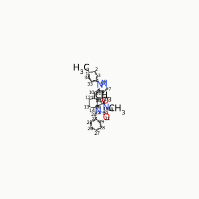 Cc1ccc(-n2ncc3c2C=C2CCC[C@]4(C(=O)N(C)C(=O)N4Cc4ccccc4)[C@@]2(C)C3)cc1